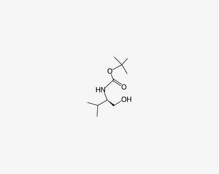 CC(C)[C@H](CO)NC(=O)OC(C)(C)C